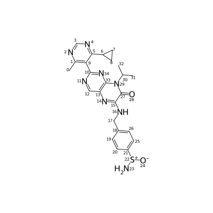 Cc1ncnc(C2CC2)c1-c1ncc2nc(NCc3ccc([S+](N)[O-])cc3)c(=O)n(C(C)C)c2n1